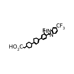 O=C(O)CC1CCC(C2=CC=C(c3ccc(-c4nc5ccc(C(F)(F)F)cc5[nH]4)c(F)c3)CC2)CC1